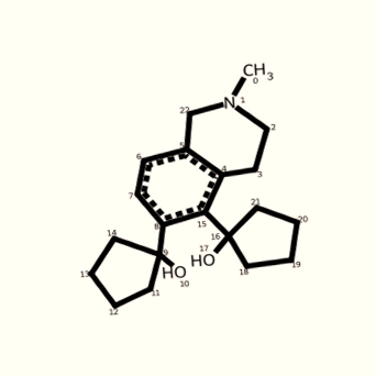 CN1CCc2c(ccc(C3(O)CCCC3)c2C2(O)CCCC2)C1